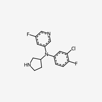 Fc1cncc(N(c2ccc(F)c(Cl)c2)C2CCNC2)c1